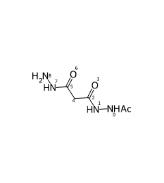 CC(=O)NNC(=O)CC(=O)NN